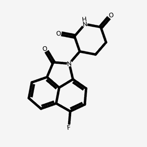 O=C1CCC(N2C(=O)c3cccc4c(F)ccc2c34)C(=O)N1